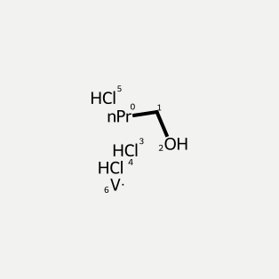 CCCCO.Cl.Cl.Cl.[V]